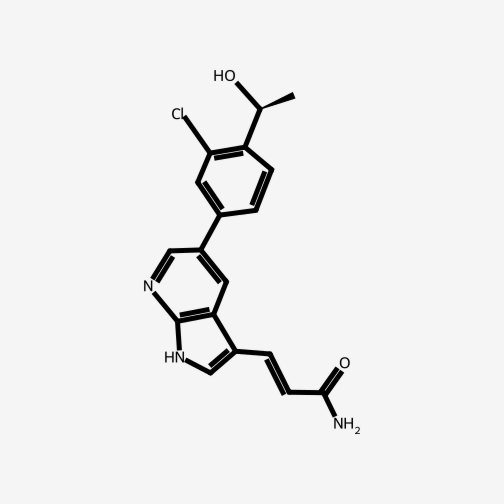 C[C@H](O)c1ccc(-c2cnc3[nH]cc(C=CC(N)=O)c3c2)cc1Cl